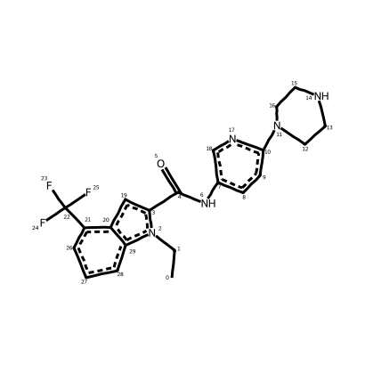 CCn1c(C(=O)Nc2ccc(N3CCNCC3)nc2)cc2c(C(F)(F)F)cccc21